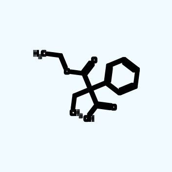 CCOC(=O)C(CC)(C(=O)O)c1ccccc1